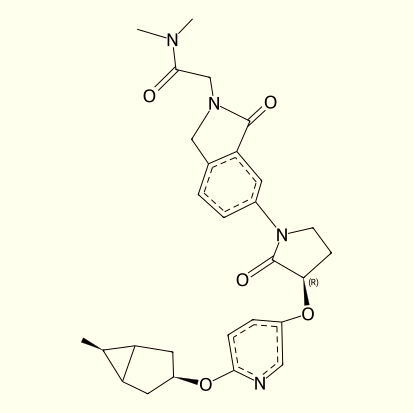 CN(C)C(=O)CN1Cc2ccc(N3CC[C@@H](Oc4ccc(O[C@H]5CC6C(C5)[C@@H]6C)nc4)C3=O)cc2C1=O